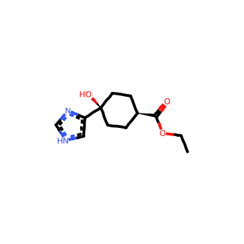 CCOC(=O)[C@H]1CC[C@](O)(c2c[nH]cn2)CC1